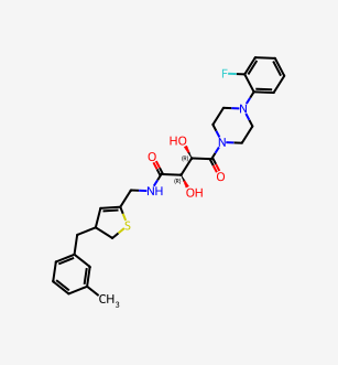 Cc1cccc(CC2C=C(CNC(=O)[C@H](O)[C@@H](O)C(=O)N3CCN(c4ccccc4F)CC3)SC2)c1